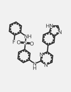 O=S(=O)(Nc1ccccc1F)c1cccc(Nc2nccc(-c3ccc4[nH]cnc4c3)n2)c1